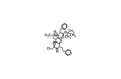 CC(C)CC(NC(=O)C(CCc1ccccc1)NC(=O)CCl)C(=O)NC(Cc1ccccc1)C(=O)OC(C)(C)C